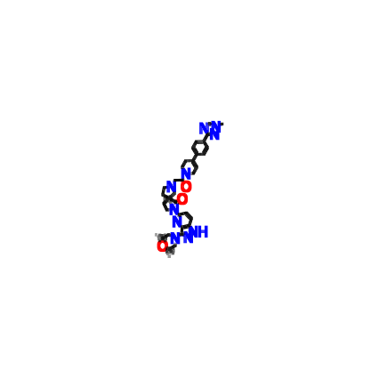 C[C@@H]1CN(c2n[nH]c3ccc(N4CC[C@]5(CCN(CC(=O)N6CC=C(c7ccc(-c8ncn(C)n8)cc7)CC6)C5)C4=O)nc23)C[C@H](C)O1